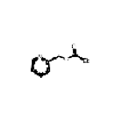 [CH2]CC(=O)OCc1ccccn1